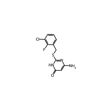 Nc1cc(=O)[nH]c(SCc2cccc(Cl)c2F)n1